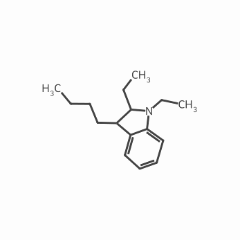 CCCCC1c2ccccc2N(CC)C1CC